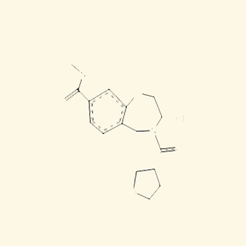 C[C@H]1COc2cc(C(=O)NO)ccc2CN1C(=O)[C@@H]1CCOC1